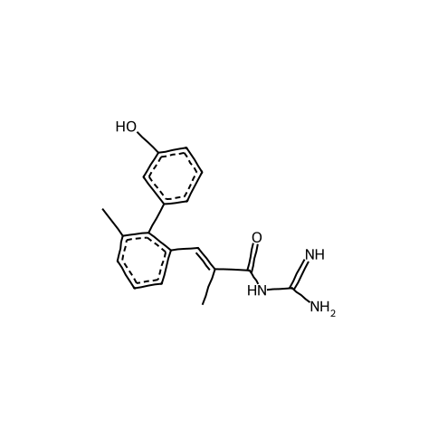 C/C(=C\c1cccc(C)c1-c1cccc(O)c1)C(=O)NC(=N)N